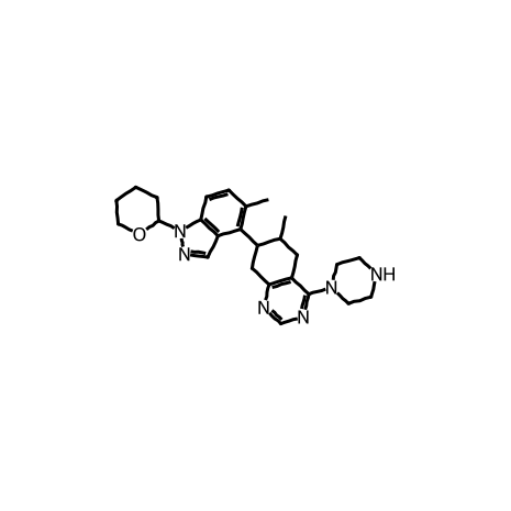 Cc1ccc2c(cnn2C2CCCCO2)c1C1Cc2ncnc(N3CCNCC3)c2CC1C